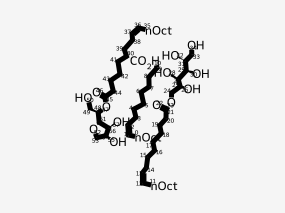 CCCCCCCC/C=C\CCCCCCCC(=O)O.CCCCCCCC/C=C\CCCCCCCC(=O)OC[C@H](O)[C@@H](O)[C@H](O)[C@H](O)CO.CCCCCCCC/C=C\CCCCCCCC(=O)O[C@H](CO)[C@H]1OC[C@H](O)[C@H]1O